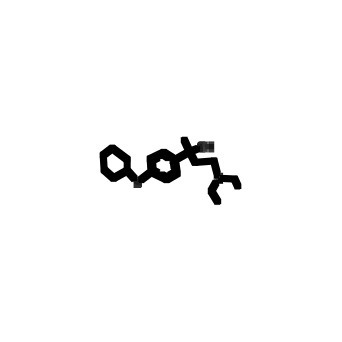 CCN(CC)CCC(C)(O)c1ccc(SC2CCCCC2)cc1